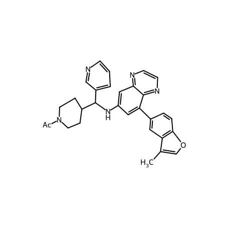 CC(=O)N1CCC(C(Nc2cc(-c3ccc4occ(C)c4c3)c3nccnc3c2)c2cccnc2)CC1